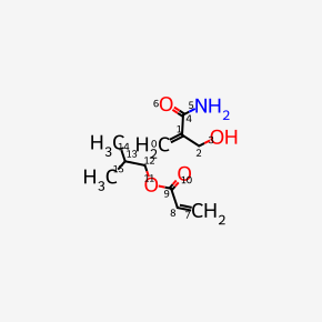 C=C(CO)C(N)=O.C=CC(=O)OCC(C)C